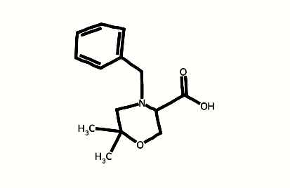 CC1(C)CN(Cc2ccccc2)C(C(=O)O)CO1